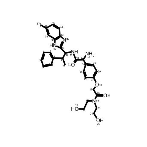 CC(c1ccccc1)C(NC(=O)C(N)c1ccc(OCC(=O)N(CCO)CCO)cc1)c1nc2ccc(I)cc2[nH]1